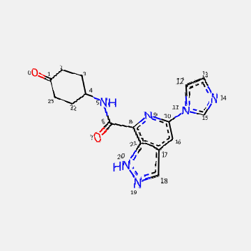 O=C1CCC(NC(=O)c2nc(-n3ccnc3)cc3cn[nH]c23)CC1